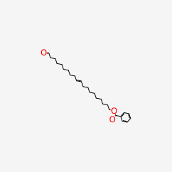 O=CCCCCCCCCC=CCCCCCCCCCOC(=O)c1ccccc1